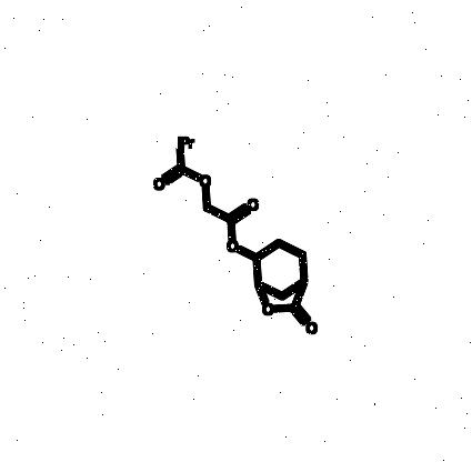 CC(C)C(=O)OCC(=O)OC1CCC2CC1OC2=O